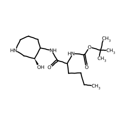 CCCCC(NC(=O)OC(C)(C)C)C(=O)NC1CCCNC[C@@H]1O